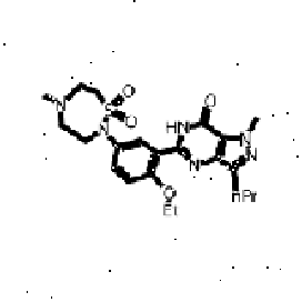 CCCc1nn(C)c2c(=O)[nH]c(-c3cc(N4CCN(C)CCS4(=O)=O)ccc3OCC)nc12